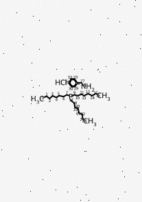 CCCCCCCCP(CCCCCCCC)CCCCCCCC.Cl.NCc1ccccc1